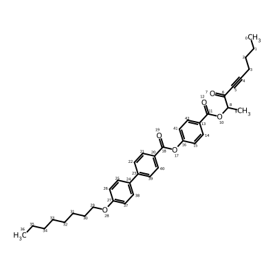 CCCCC#CC(=O)C(C)OC(=O)c1ccc(OC(=O)c2ccc(-c3ccc(OCCCCCCCC)cc3)cc2)cc1